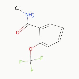 [CH2-][NH2+]C(=O)c1ccccc1OC(F)(F)F